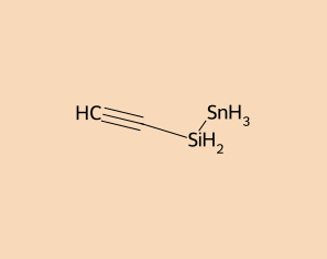 C#C[SiH2][SnH3]